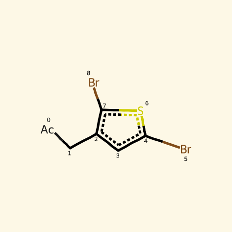 CC(=O)Cc1cc(Br)sc1Br